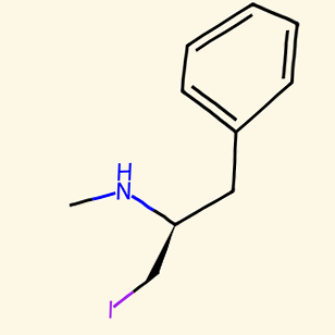 CN[C@H](CI)Cc1ccccc1